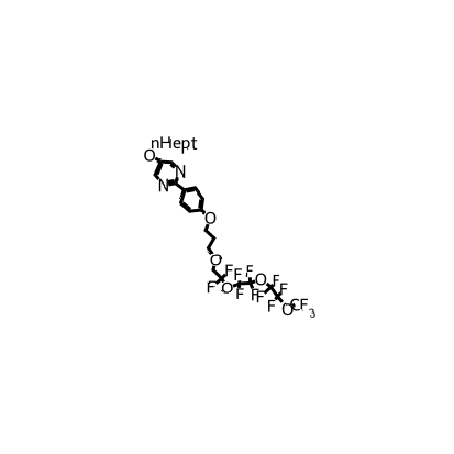 CCCCCCCOc1cnc(-c2ccc(OCCCOCC(F)(F)OC(F)(F)C(F)(F)OC(F)(F)C(F)(F)OC(F)(F)F)cc2)nc1